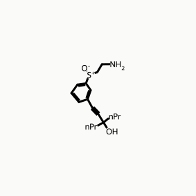 CCCC(O)(C#Cc1cccc([S+]([O-])CCN)c1)CCC